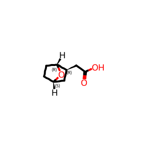 O=C(O)C[C@H]1C[C@@H]2CC[C@H]1O2